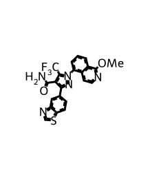 COc1nccc2c(-n3nc(-c4ccc5scnc5c4)c(C(N)=O)c3C(F)(F)F)cccc12